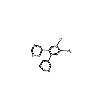 Nc1nc(-c2cccnc2)c(-c2cncnc2)cc1Cl